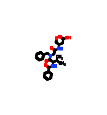 CC(C)[C@H](NC(=O)c1ccccc1)C(=O)N(CC(=O)NC(C=O)CC(=O)O)Cc1ccccc1